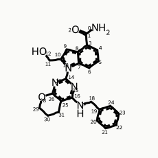 NC(=O)c1cccc2c1cc(CO)n2-c1nc(NCc2ccccc2)c2c(n1)OCCC2